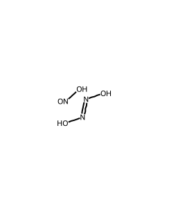 O=NO.ON=NO